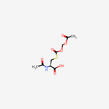 CC(=O)N[C@@H](CSC(=O)OCOC(C)=O)C(=O)O